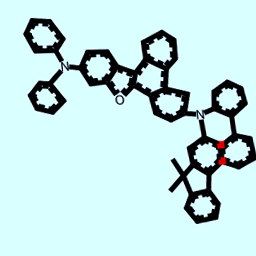 CC1(C)c2ccccc2-c2ccc(N(c3ccc4c(c3)c3ccccc3c3c5ccc(N(c6ccccc6)c6ccccc6)cc5oc43)c3ccccc3-c3ccccc3)cc21